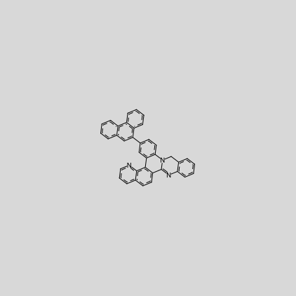 c1ccc2c(c1)CN1C(=N2)c2ccc3cccnc3c2-c2cc(-c3cc4ccccc4c4ccccc34)ccc21